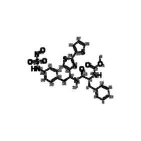 COC(=O)N[C@@H](Cc1ccccc1)C(=O)N(C)[C@@H](Cc1ccc(NS(=O)(=O)N=O)cc1)c1csc(-c2cccs2)n1